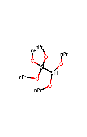 CCCO[SiH](OCCC)[Si](OCCC)(OCCC)OCCC